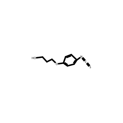 OCC[CH]Oc1ccc(N=C=S)cc1